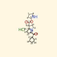 CC1(C(=O)OC2CCCN2)CCn2c(C(=O)c3ccccc3)ccc21.Cl